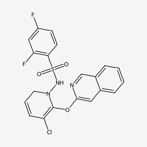 O=S(=O)(NN1CC=CC(Cl)=C1Oc1cc2ccccc2cn1)c1ccc(F)cc1F